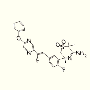 CC1(C)C(N)=N[C@](C)(c2cc(/C=C(\F)c3cnc(Oc4ccccc4)cn3)ccc2F)CS1(=O)=O